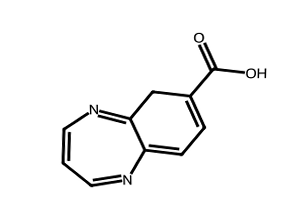 O=C(O)C1=CC=C2N=CC=CN=C2C1